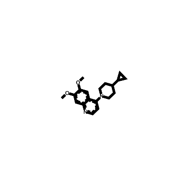 COc1cc2nccc(N3CCC(C4CC4)CC3)c2cc1OC